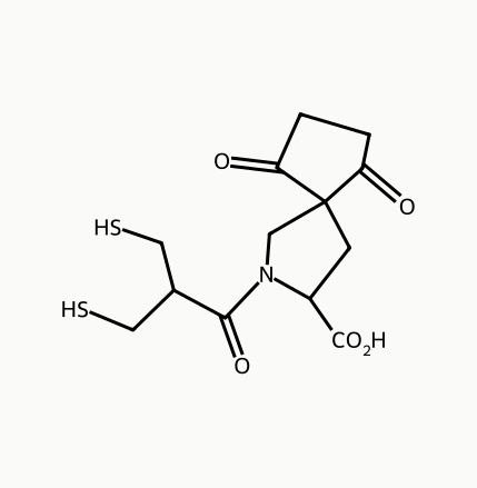 O=C(O)C1CC2(CN1C(=O)C(CS)CS)C(=O)CCC2=O